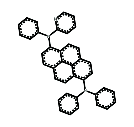 c1ccc(N(c2ccccc2)c2ccc3ccc4c(N(c5ccccc5)c5ccccn5)ccc5ccc2c3c54)cc1